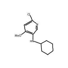 COc1cc(Cl)ncc1NC1CCCCC1